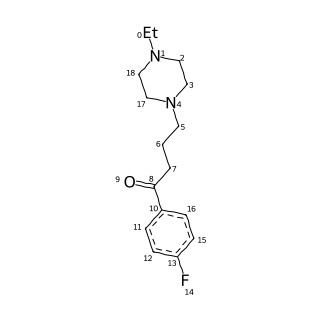 CCN1CCN(CCCC(=O)c2ccc(F)cc2)CC1